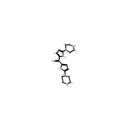 O=C(c1ccc(N2CCOCC2)s1)c1ccc(N2CCOCC2)s1